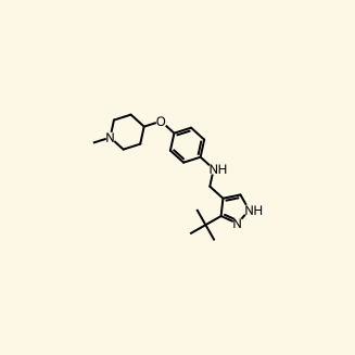 CN1CCC(Oc2ccc(NCc3c[nH]nc3C(C)(C)C)cc2)CC1